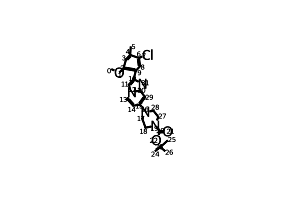 COc1cc(C)c(Cl)cc1-c1cn2ccc(N3CCN(C(=O)OC(C)(C)C)CC3)cc2n1